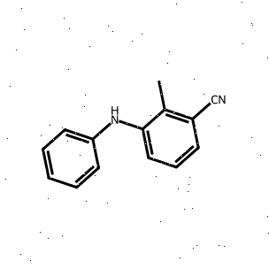 Cc1c(C#N)cccc1Nc1ccccc1